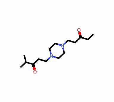 CCC(=O)CCN1CCN(CCC(=O)C(C)C)CC1